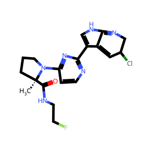 C[C@]1(C(=O)NCCF)CCCN1c1ccnc(-c2c[nH]c3c2=CC(Cl)CN=3)n1